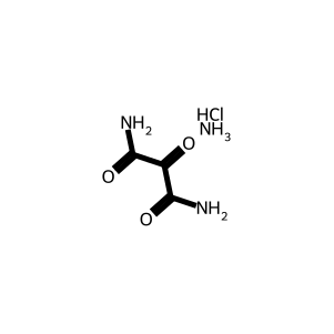 Cl.N.NC(=O)C(=O)C(N)=O